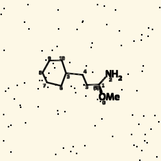 CO[C@H](N)[CH]CC1CCCCC1